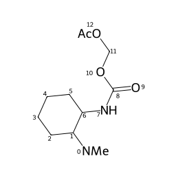 CNC1CCCCC1NC(=O)OCOC(C)=O